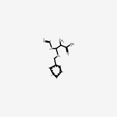 CC(C(=O)O)C(OCc1ccccc1)SC=O